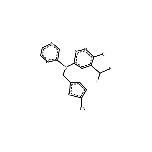 N#Cc1ccc(CN(c2cnccn2)c2cc(C(F)F)c(Cl)nn2)s1